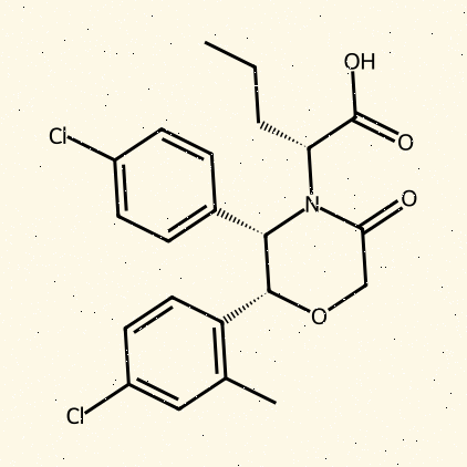 CCC[C@H](C(=O)O)N1C(=O)CO[C@H](c2ccc(Cl)cc2C)[C@@H]1c1ccc(Cl)cc1